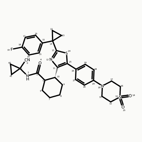 N#CC1(NC(=O)C2CCCC[C@H]2c2nc(C3(c4ccc(F)cc4)CC3)sc2-c2ccc(N3CCS(=O)(=O)CC3)cc2)CC1